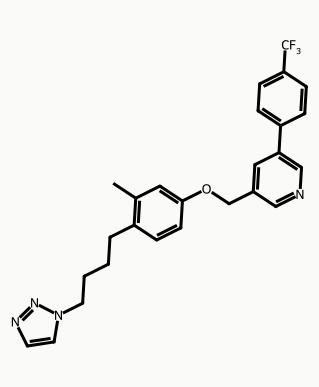 Cc1cc(OCc2cncc(-c3ccc(C(F)(F)F)cc3)c2)ccc1CCCCn1ccnn1